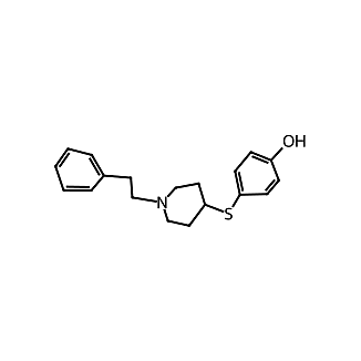 Oc1ccc(SC2CCN(CCc3ccccc3)CC2)cc1